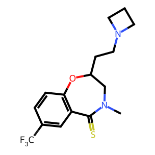 CN1CC(CCN2CCC2)Oc2ccc(C(F)(F)F)cc2C1=S